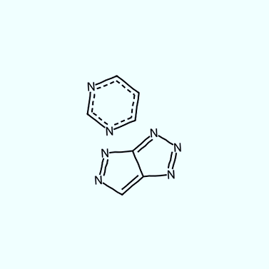 C1=C2N=NN=C2N=N1.c1cncnc1